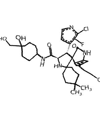 CC1(C)CCC2(CC1)N[C@@H](C(=O)NC1CCC(O)(CO)CC1)[C@H](c1ccnc(Cl)c1F)[C@]21C(=O)Nc2cc(Cl)ccc21